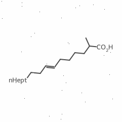 CCCCCCCCC/C=C/CCCCC(C)C(=O)O